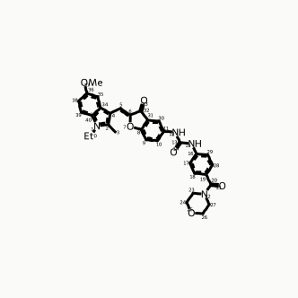 CCn1c(C)c(C=C2Oc3ccc(NC(=O)Nc4ccc(C(=O)N5CCOCC5)cc4)cc3C2=O)c2cc(OC)ccc21